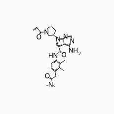 C=CC(=O)N1CCCC(n2cc(C(=O)Nc3ccc(CC(=O)N(C)C)c(C)c3C)c3c(N)ncnc32)C1